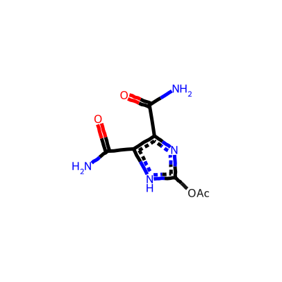 CC(=O)Oc1nc(C(N)=O)c(C(N)=O)[nH]1